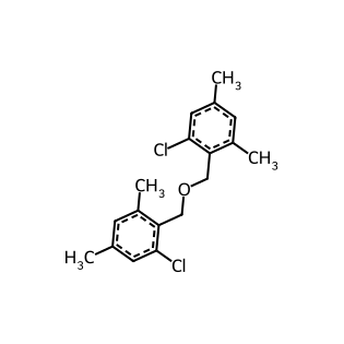 Cc1cc(C)c(COCc2c(C)cc(C)cc2Cl)c(Cl)c1